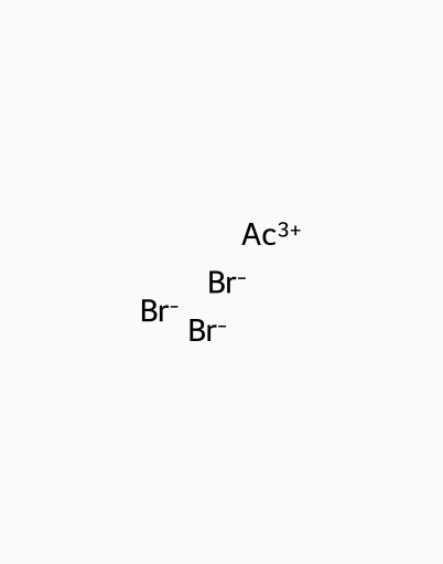 [Ac+3].[Br-].[Br-].[Br-]